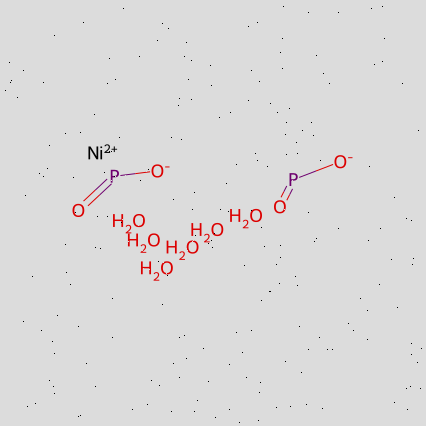 O.O.O.O.O.O.O=P[O-].O=P[O-].[Ni+2]